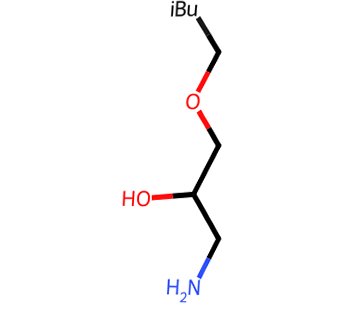 CCC(C)COCC(O)CN